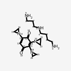 NCCCCNCCCN.O=C1C=C(N2CC2)C(=O)C(N2CC2)=C1N1CC1